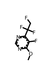 COc1ncnc(C(F)(F)CF)c1F